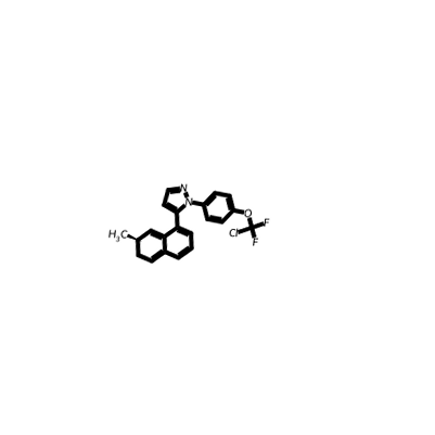 C[C@H]1C=c2c(-c3ccnn3-c3ccc(OC(F)(F)Cl)cc3)cccc2=CC1